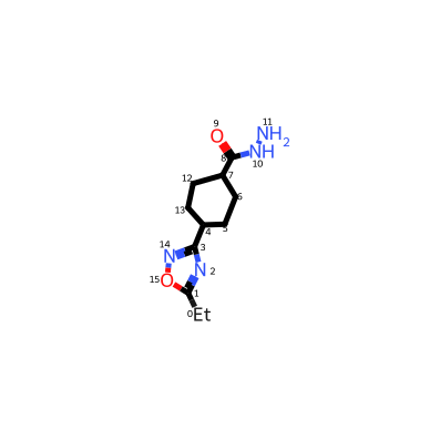 CCc1nc(C2CCC(C(=O)NN)CC2)no1